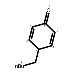 CCCCCC1C=CC(=O)C=C1